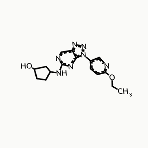 CCOc1ccc(-n2nnc3cnc(NC4CCC(O)C4)nc32)cn1